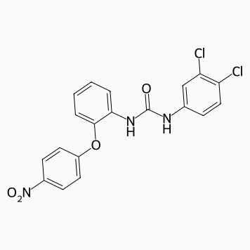 O=C(Nc1ccc(Cl)c(Cl)c1)Nc1ccccc1Oc1ccc([N+](=O)[O-])cc1